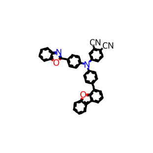 N#Cc1ccc(N(c2ccc(-c3nc4ccccc4o3)cc2)c2ccc(-c3cccc4c3oc3ccccc34)cc2)cc1C#N